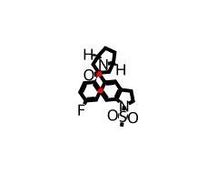 CS(=O)(=O)N1CCc2cc(C(=O)N3[C@@H]4CC[C@H]3C[C@@H](c3ccc(F)cc3)C4)ccc21